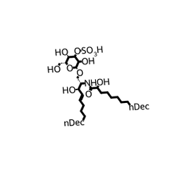 CCCCCCCCCCCCC/C=C/[C@@H](O)[C@H](CO[C@@H]1O[C@H](CO)[C@H](O)C(OS(=O)(=O)O)C1O)NC(=O)C(O)CCCCCCCCCCCCCCCC